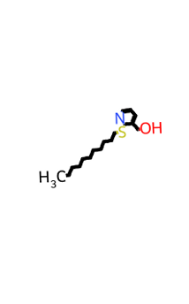 CCCCCCCCCCCSc1ncccc1CO